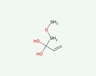 C=CC(O)(O)[SiH2]O[SiH3]